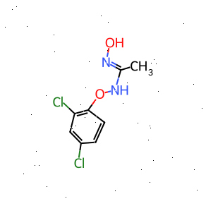 CC(=NO)NOc1ccc(Cl)cc1Cl